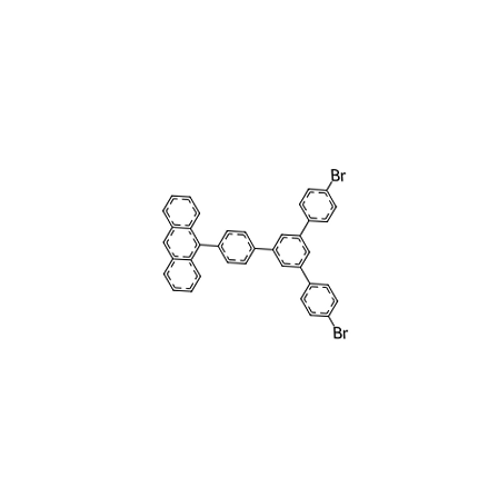 Brc1ccc(-c2cc(-c3ccc(Br)cc3)cc(-c3ccc(-c4c5ccccc5cc5ccccc45)cc3)c2)cc1